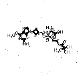 COc1nc(N)nc2c1ncn2[C@H]1C[C@@H](COP(=O)(N[C@@H](C)C(=O)O)OCCSC(=O)C(C)(C)C)C1